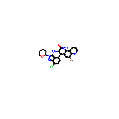 Nc1c(-c2ccc(Cl)c3nn(C4CCCCO4)cc23)c2cc(Br)c3ncccc3c2[nH]c1=O